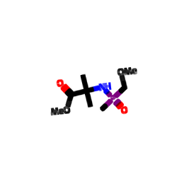 COCP(C)(=O)NC(C)(C)C(=O)OC